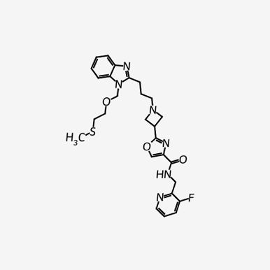 CSCCOCn1c(CCCN2CC(c3nc(C(=O)NCc4ncccc4F)co3)C2)nc2ccccc21